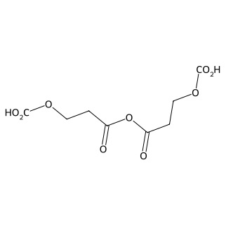 O=C(O)OCCC(=O)OC(=O)CCOC(=O)O